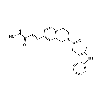 Cc1[nH]c2ccccc2c1CC(=O)N1CCc2ccc(C=CC(=O)NO)cc2C1